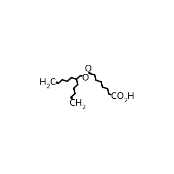 C=CCCCC(CCCC=C)COC(=O)CCCCCCC(=O)O